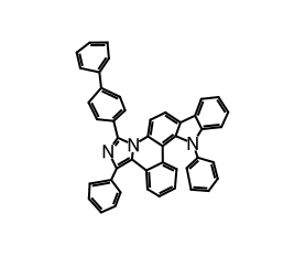 c1ccc(-c2ccc(-c3nc(-c4ccccc4)c4c5ccccc5c5c6c(ccc5n34)c3ccccc3n6-c3ccccc3)cc2)cc1